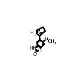 COc1cc2oc(=O)[nH]c2cc1C1C=CC2CCC1N2C